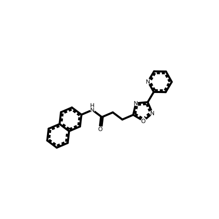 O=C(CCc1nc(-c2ccccn2)no1)Nc1ccc2ccccc2c1